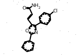 NC(=O)C=Cc1oc(-c2ccccc2)nc1-c1ccc(Cl)cc1